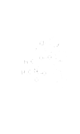 C[C@H](CC(=O)OC(c1ccccc1)(c1ccccc1)c1ccccc1Cl)N(C)C(=O)OCC1c2ccccc2-c2ccccc21